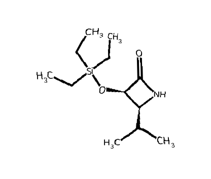 CC[Si](CC)(CC)O[C@H]1C(=O)N[C@H]1C(C)C